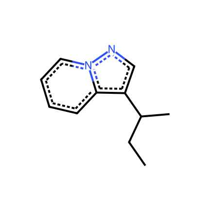 CCC(C)c1cnn2ccccc12